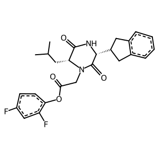 CC(C)C[C@@H]1C(=O)N[C@H](C2Cc3ccccc3C2)C(=O)N1CC(=O)Oc1ccc(F)cc1F